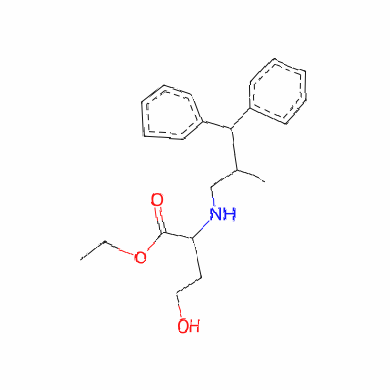 CCOC(=O)C(CCO)NCC(C)C(c1ccccc1)c1ccccc1